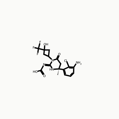 C[C@@]1(c2cccc(N)c2Cl)CC(=O)N(C2CC(O)(C(F)(F)F)C2)/C(=N/C(=O)O)N1